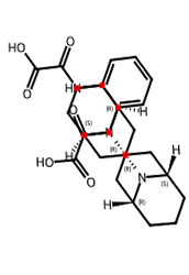 O=C(O)C(=O)Nc1ccccc1N(C(=O)C(=O)O)[C@H]1C[C@H]2CCC[C@@H](C1)N2[C@H]1C[C@@H]2CCC[C@@H](C2)C1